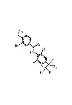 CCc1cc(C(F)(C(F)(F)F)C(F)(F)C(F)(F)F)cc(C)c1NC(=O)c1ccc(CN)c(Br)c1